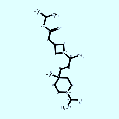 CC(C)OC(=O)CC1CN(C(C)CCC2(C)CCN(C(C)C)CC2)C1